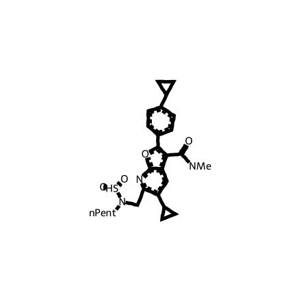 CCCCCN(Cc1nc2oc(-c3ccc(C4CC4)cc3)c(C(=O)NC)c2cc1C1CC1)[SH](=O)=O